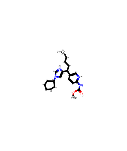 CC(C)(C)OC(=O)Nc1ccc(C(CCCC(=O)O)c2cn(C3CCCCC3)cn2)cn1